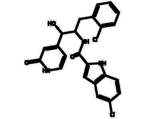 O=C(NC(Cc1ccccc1Cl)C(O)c1cc[nH]c(=O)c1)c1cc2cc(Cl)ccc2[nH]1